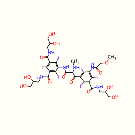 CNC(C(=O)Nc1c(I)c(C(=O)NCC(O)CO)c(I)c(C(=O)NCC(O)CO)c1I)C(=O)c1c(I)c(NC(=O)COC)c(I)c(C(=O)NCC(O)CO)c1I